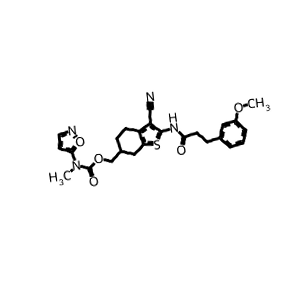 COc1cccc(CCC(=O)Nc2sc3c(c2C#N)CCC(COC(=O)N(C)c2ccno2)C3)c1